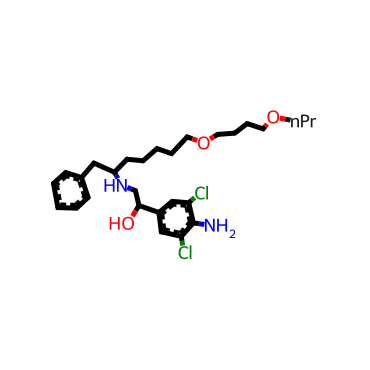 CCCOCCCCOCCCCCC(Cc1ccccc1)NCC(O)c1cc(Cl)c(N)c(Cl)c1